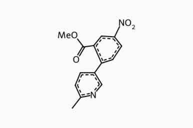 COC(=O)c1cc([N+](=O)[O-])ccc1-c1ccc(C)nc1